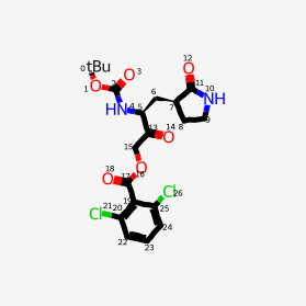 CC(C)(C)OC(=O)N[C@@H](C[C@@H]1CCNC1=O)C(=O)COC(=O)c1c(Cl)cccc1Cl